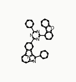 c1ccc(-c2nc(-c3ccc4c(c3)c3c(-c5ccccc5)nc5cccc4n53)nc(-c3cccc4oc5ccccc5c34)n2)cc1